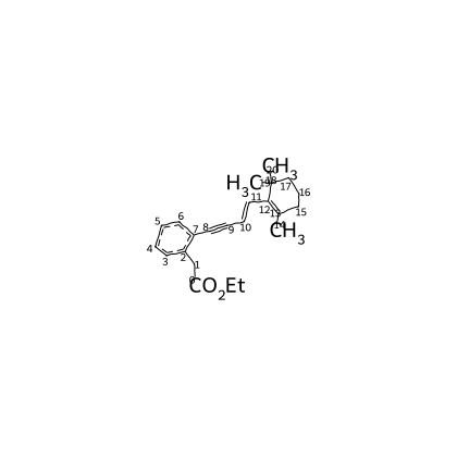 CCOC(=O)Cc1ccccc1C#CC=CC1=C(C)CCCC1(C)C